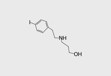 OCCCNCCc1ccc(I)cc1